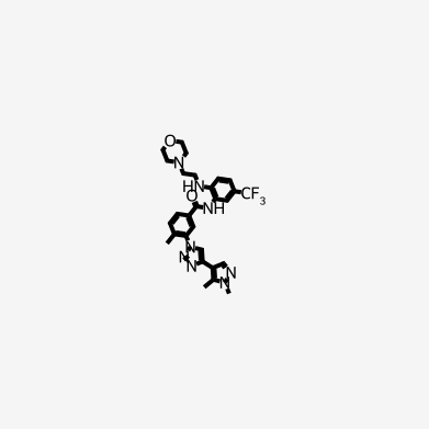 Cc1ccc(C(=O)Nc2cc(C(F)(F)F)ccc2NCCN2CCOCC2)cc1-n1cc(-c2cnn(C)c2C)nn1